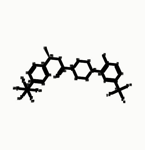 Cc1ccc(C(F)(F)F)cc1N1CCN(C(=O)C[C@@H](C)c2ccc(S(F)(F)(F)(F)F)cc2)CC1